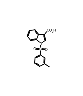 Cc1cccc(S(=O)(=O)n2cc(C(=O)O)c3ccccc32)c1